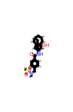 CN(Cc1ccc(C(=O)NC23CC4CCCC(O)(C2)C(C4)C3)cc1)S(C)(=O)=O